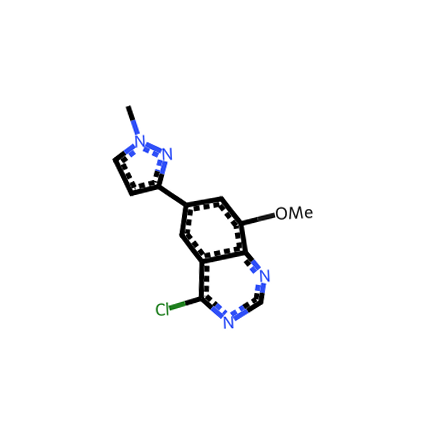 COc1cc(-c2ccn(C)n2)cc2c(Cl)ncnc12